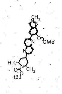 COCOc1cc2nn(C)cc2cc1-c1ccc2nc(C3C[C@@H](C)N(C(=O)OC(C)(C)C)[C@@H](C)C3)ccc2n1